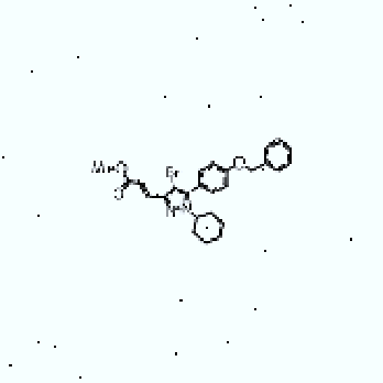 COC(=O)C=Cc1nn(C2CCCCC2)c(-c2ccc(OCc3ccccc3)cc2)c1Br